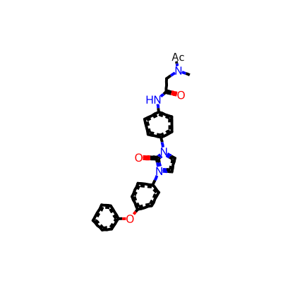 CC(=O)N(C)CC(=O)Nc1ccc(-n2ccn(-c3ccc(Oc4ccccc4)cc3)c2=O)cc1